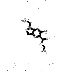 CCOC(=O)c1nc2cnn(CC)c2nc1N